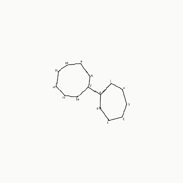 [CH]1CCCCCC1C1[CH]CCCCCC1